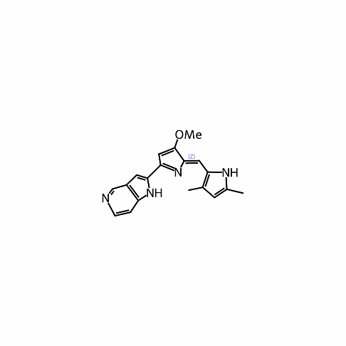 COC1=CC(c2cc3cnccc3[nH]2)=N/C1=C\c1[nH]c(C)cc1C